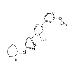 COc1cc(-c2ccc(-c3ccc(O[C@H]4CCCC[C@H]4F)nn3)c(O)c2)ccn1